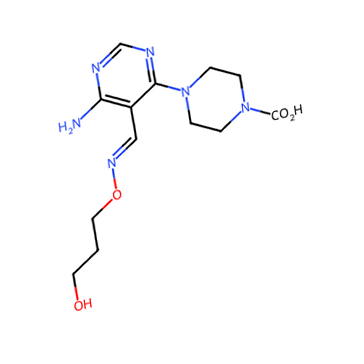 Nc1ncnc(N2CCN(C(=O)O)CC2)c1C=NOCCCO